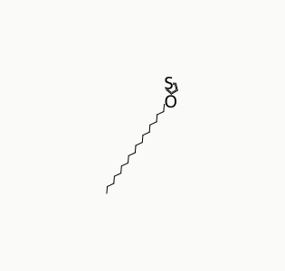 CCCCCCCCCCCCCCCCCCOc1ccsc1